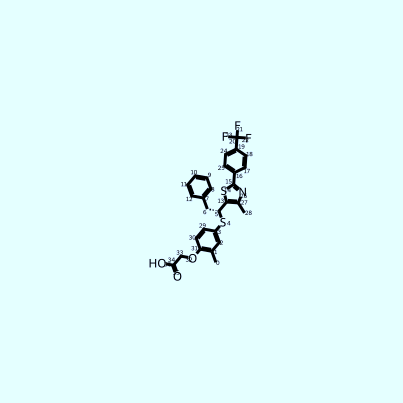 Cc1cc(S[C@H](Cc2ccccc2)c2sc(-c3ccc(C(F)(F)F)cc3)nc2C)ccc1OCC(=O)O